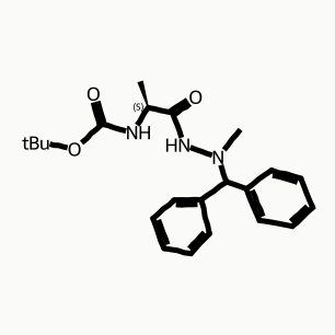 C[C@H](NC(=O)OC(C)(C)C)C(=O)NN(C)C(c1ccccc1)c1ccccc1